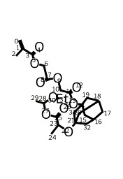 C=C(C)C(=O)OCC(=O)OCC(=O)OC12CC3CC(C1)CC(OC(C)C(=O)OC(C)OCC)(C3)C2